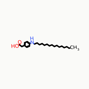 CCCCCCCCCCCCCCCCNc1ccc(CC(=O)O)cc1